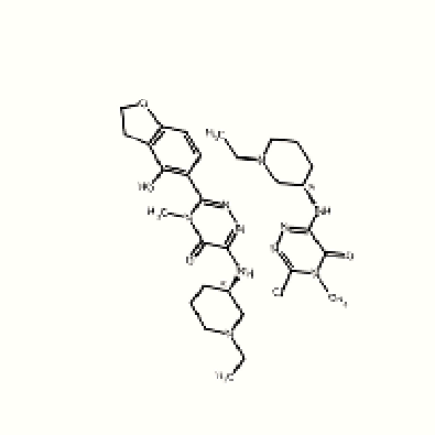 CCN1CCC[C@@H](Nc2nnc(-c3ccc4c(c3O)CCO4)n(C)c2=O)C1.CCN1CCC[C@@H](Nc2nnc(Cl)n(C)c2=O)C1